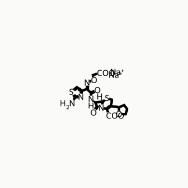 Nc1nc(/C(=N/OCC(=O)[O-])C(=O)N[C@@H]2C(=O)N3C(C(=O)[O-])=C(C4CCCO4)CS[C@H]23)cs1.[Na+].[Na+]